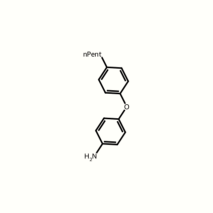 CCCCCc1ccc(Oc2ccc(N)cc2)cc1